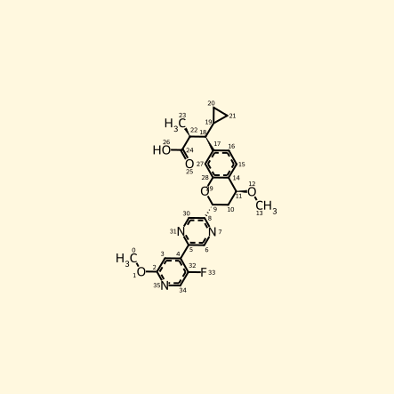 COc1cc(-c2cnc([C@H]3C[C@H](OC)c4ccc([C@H](C5CC5)[C@H](C)C(=O)O)cc4O3)cn2)c(F)cn1